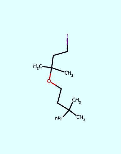 CCCC(C)(C)CCOC(C)(C)CCI